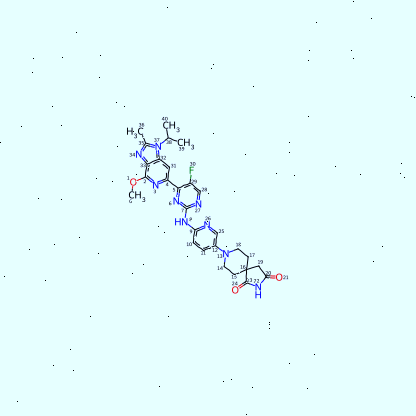 COc1nc(-c2nc(Nc3ccc(N4CCC5(CC4)CC(=O)NC5=O)cn3)ncc2F)cc2c1nc(C)n2C(C)C